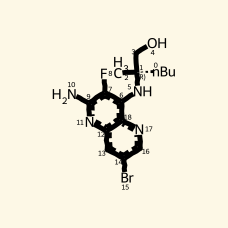 CCCC[C@](C)(CO)Nc1c(F)c(N)nc2cc(Br)cnc12